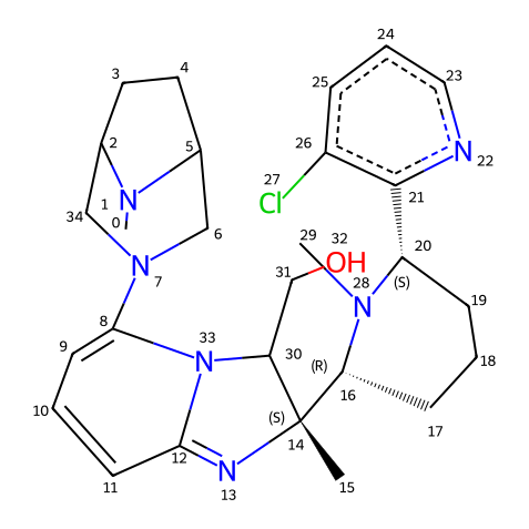 CN1C2CCC1CN(C1=CC=CC3=N[C@@](C)([C@H]4CCC[C@@H](c5ncccc5Cl)N4C)C(CO)N13)C2